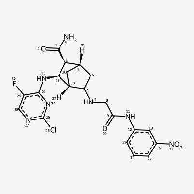 NC(=O)[C@H]1[C@@H]2CC(NCC(=O)Nc3cccc([N+](=O)[O-])c3)[C@@H](C2)[C@H]1Nc1nc(Cl)ncc1F